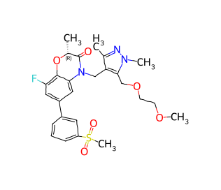 COCCOCc1c(CN2C(=O)[C@@H](C)Oc3c(F)cc(-c4cccc(S(C)(=O)=O)c4)cc32)c(C)nn1C